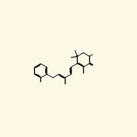 Br.CC(C=CC1=C(C)C(=O)C(O)CC1(C)C)=CCc1ccccc1P